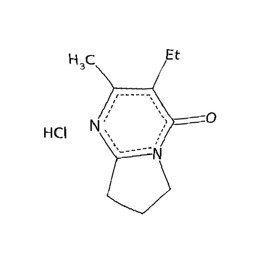 CCc1c(C)nc2n(c1=O)CCC2.Cl